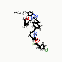 O=C(O)c1ccc2nc(Cc3ccc(-c4cccc(OC(F)c5ccc(Cl)cc5)n4)cc3)n(C[C@H]3CCCO3)c2c1